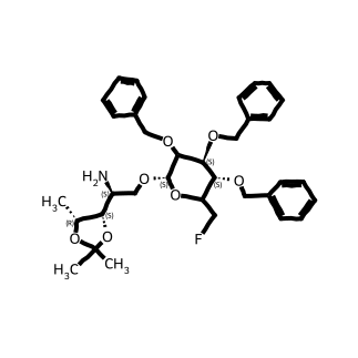 C[C@H]1OC(C)(C)O[C@H]1[C@@H](N)CO[C@H]1OC(CF)[C@@H](OCc2ccccc2)[C@H](OCc2ccccc2)C1OCc1ccccc1